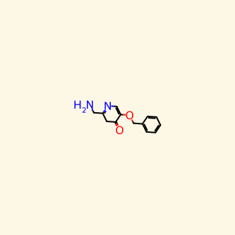 NCC1=NC=C(OCc2ccccc2)C(=O)C1